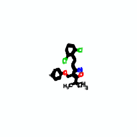 CC(C)c1onc(CCc2c(Cl)cccc2Cl)c1COc1cc[c]cc1